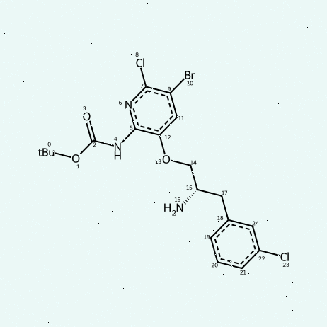 CC(C)(C)OC(=O)Nc1nc(Cl)c(Br)cc1OC[C@@H](N)Cc1cccc(Cl)c1